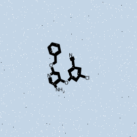 N#Cc1cc(Cl)cc(Oc2cc(OCc3ccccc3)ncc2N)c1